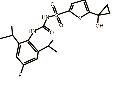 CC(C)c1cc(F)cc(C(C)C)c1NC(=O)NS(=O)(=O)c1ccc(C2(O)CC2)s1